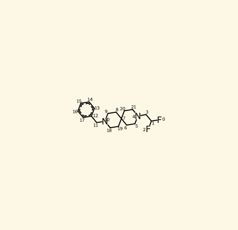 FC(F)CN1CCC2(CCN(Cc3ccccc3)CC2)CC1